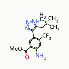 COC(=O)c1cc(-c2nn[nH]c2C[Si](C)(C)C)c(C(F)(F)F)cc1N